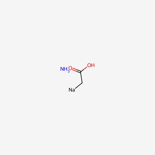 N.O=C(O)[CH2][Na]